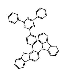 c1ccc(-c2nc(-c3ccccc3)nc(-c3ccc(-c4c(-n5c6ccccc6c6ccccc65)ccc5c4sc4ccccc45)cc3)n2)cc1